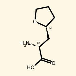 N[C@H](C[C@@H]1CCCO1)C(=O)O